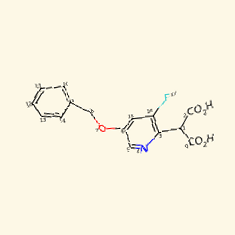 O=C(O)C(C(=O)O)c1ncc(OCc2ccccc2)cc1F